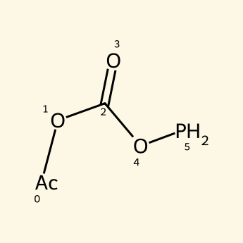 CC(=O)OC(=O)OP